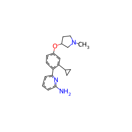 CN1CCC(Oc2ccc(-c3cccc(N)n3)c(C3CC3)c2)C1